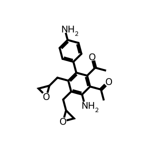 CC(=O)c1c(N)c(CC2CO2)c(CC2CO2)c(-c2ccc(N)cc2)c1C(C)=O